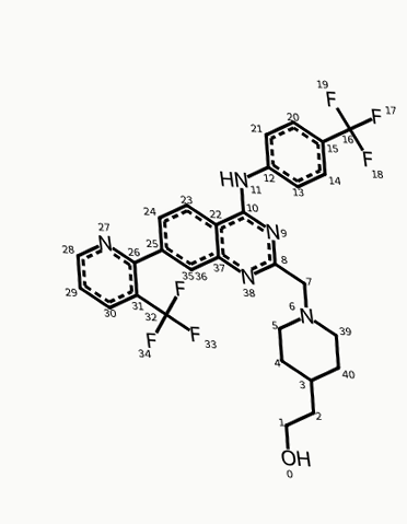 OCCC1CCN(Cc2nc(Nc3ccc(C(F)(F)F)cc3)c3ccc(-c4ncccc4C(F)(F)F)cc3n2)CC1